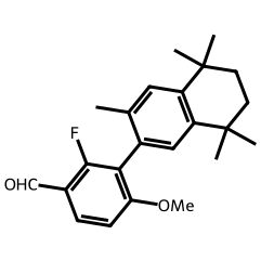 COc1ccc(C=O)c(F)c1-c1cc2c(cc1C)C(C)(C)CCC2(C)C